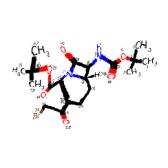 CC(C)(C)OC(=O)NC1C(=O)N2C(C(=O)OC(C)(C)C)=C(C(=O)CBr)CC[C@@H]12